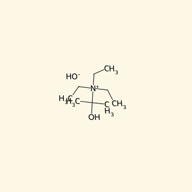 CC[N+](CC)(CC)C(C)(C)O.[OH-]